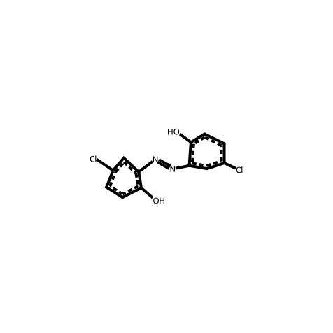 Oc1ccc(Cl)cc1/N=N/c1cc(Cl)ccc1O